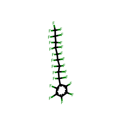 Fc1c(F)c(F)c(C(F)(F)C(F)(F)C(F)(F)C(F)(F)C(F)(F)C(F)(F)C(F)(F)C(F)(F)C(F)(F)F)c(F)c1F